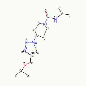 CC(C)NC(=O)N1CCC(n2cc(COC(C)C)nn2)CC1